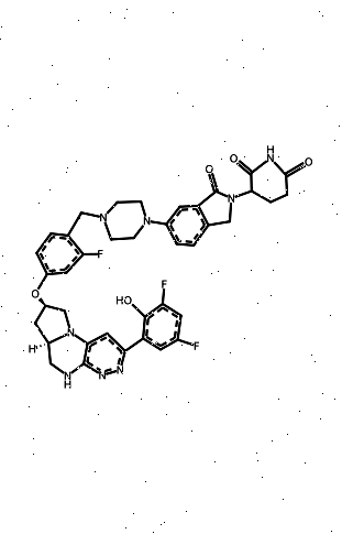 O=C1CCC(N2Cc3ccc(N4CCN(Cc5ccc(O[C@@H]6C[C@@H]7CNc8nnc(-c9cc(F)cc(F)c9O)cc8N7C6)cc5F)CC4)cc3C2=O)C(=O)N1